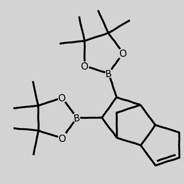 CC1(C)OB(C2C3CC(C4CC=CC43)C2B2OC(C)(C)C(C)(C)O2)OC1(C)C